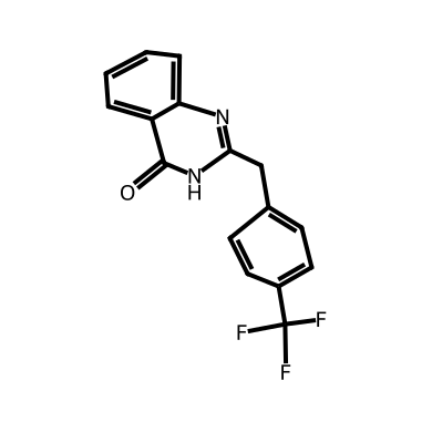 O=c1[nH]c(Cc2ccc(C(F)(F)F)cc2)nc2ccccc12